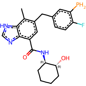 Cc1c(Cc2ccc(F)c(P)c2)cc(C(=O)N[C@@H]2CCCC[C@H]2O)c2nc[nH]c12